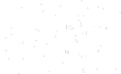 CC(C)(CO)Nc1nc(N)ncc1Oc1ccc(Cl)cc1